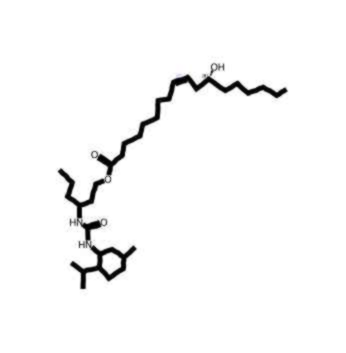 CCCCCC[C@@H](O)C/C=C\CCCCCCCC(=O)OCCC(CCC)NC(=O)NC1CC(C)CCC1C(C)C